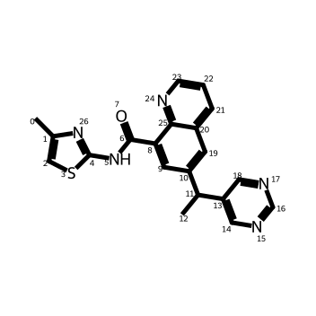 Cc1csc(NC(=O)c2cc(C(C)c3cncnc3)cc3cccnc23)n1